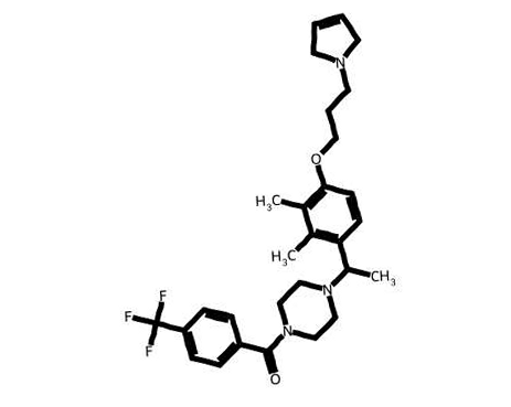 Cc1c(OCCCN2CC=CC2)ccc(C(C)N2CCN(C(=O)c3ccc(C(F)(F)F)cc3)CC2)c1C